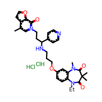 CCN1C(=O)C(C)(C)C(=O)N(C)c2cc(OCCCNC(CCn3cc(C)c4ccoc4c3=O)c3ccncc3)ccc21.Cl.Cl